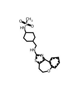 CS(=O)(=O)NC1CCC(CNc2nc3c(s2)CCOc2ccccc2-3)CC1